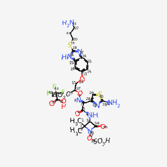 CC1(C)C(NC(=O)C(=NOC(COc2ccc3nc(SCCCN)[nH]c3c2)C(=O)O)c2csc(N)n2)C(=O)N1OS(=O)(=O)O.O=C(O)C(F)(F)F